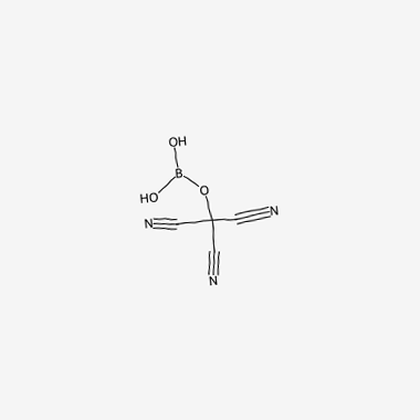 N#CC(C#N)(C#N)OB(O)O